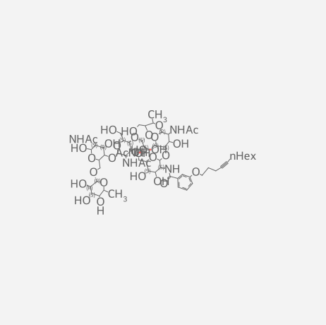 CCCCCCC#CCCCOc1cccc(C(=O)N[C@@H]2C(O[C@H]3C(O)C(NC(C)=O)[C@H](OC(C)C(CO)O[C@@H](O[C@H]4C(O)C(NC(C)=O)C(OC5C(CO[C@@H]6OC(C)C(O)[C@H](O)[C@H]6O)OC(O)[C@@H](NC(C)=O)[C@H]5O)O[C@H]4CO)[C@H](CO)NC(C)=O)O[C@H]3CO)OC(CO)[C@@H](O)C2O)c1